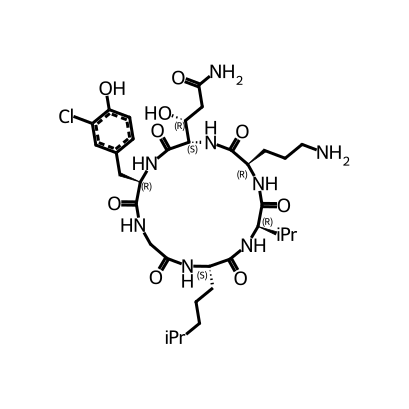 CC(C)CCC[C@@H]1NC(=O)CNC(=O)[C@@H](Cc2ccc(O)c(Cl)c2)NC(=O)[C@H]([C@H](O)CC(N)=O)NC(=O)[C@@H](CCCN)NC(=O)[C@@H](C(C)C)NC1=O